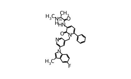 CN[C@@H](C)C(=O)Nc1ccc(-c2ccccc2)n(Cc2cncc(-n3cc(C)c4cc(F)ccc43)c2)c1=O